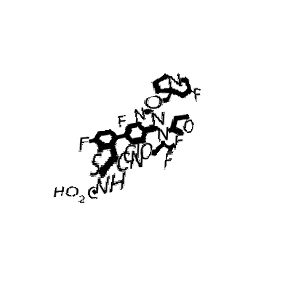 N#Cc1c(NC(=O)O)sc2c(F)ccc(-c3c(Cl)c4c5c(nc(OC[C@@]67CCCN6C[C@H](F)C7)nc5c3F)N(C3CCOC3)[C@@H](C(F)F)CO4)c12